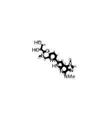 CNc1nc2[nH]c(-c3cccc(CN(C)C(=O)[C@@H](O)CO)n3)cc2c2c1ncn2C